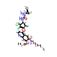 COCCNC(=O)c1cc2c(Oc3c(F)cc(NC(=O)NC4CC4)c(Cl)c3F)ccnc2cc1OC